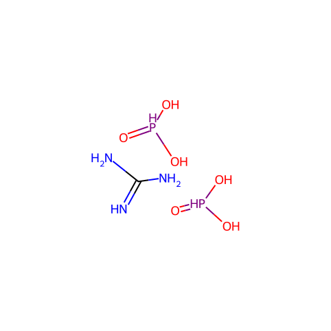 N=C(N)N.O=[PH](O)O.O=[PH](O)O